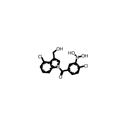 O=C(c1ccc(Cl)c(N(O)O)c1)n1cc(CO)c2c(Cl)cccc21